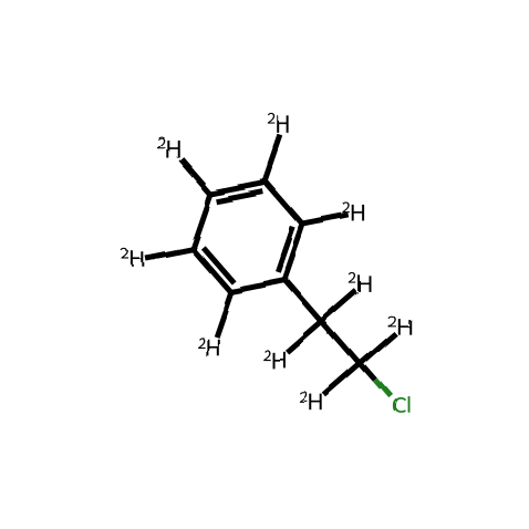 [2H]c1c([2H])c([2H])c(C([2H])([2H])C([2H])([2H])Cl)c([2H])c1[2H]